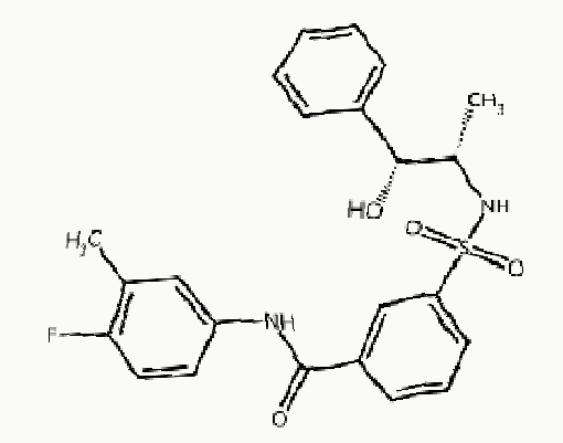 Cc1cc(NC(=O)c2cccc(S(=O)(=O)N[C@@H](C)[C@H](O)c3ccccc3)c2)ccc1F